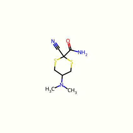 CN(C)C1CSC(C#N)(C(N)=O)SC1